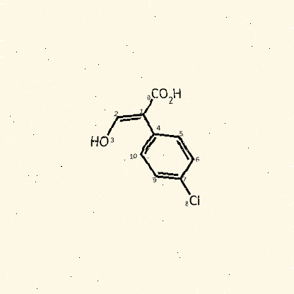 O=C(O)/C(=C/O)c1ccc(Cl)cc1